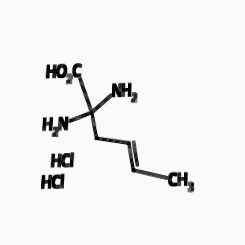 CC=CCC(N)(N)C(=O)O.Cl.Cl